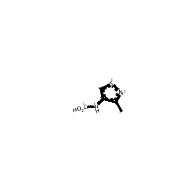 Cc1nscc1NC(=O)O